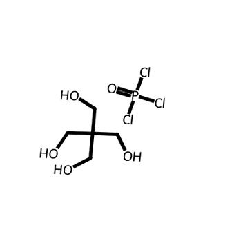 O=P(Cl)(Cl)Cl.OCC(CO)(CO)CO